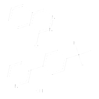 Cc1ncccc1-c1ccc(C(F)(F)F)cc1Oc1nncc2ccccc12